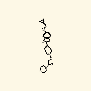 O=C(COC1CCC(c2cc3ccc(OCC4CC4)cc3o2)CC1)N1CCOCC1